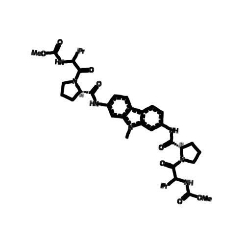 COC(=O)NC(C(=O)N1CCC[C@H]1C(=O)Nc1ccc2c3ccc(NC(=O)[C@@H]4CCCN4C(=O)C(NC(=O)OC)C(C)C)cc3n(C)c2c1)C(C)C